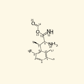 Cc1ccc(F)c([C@@H](C)C(N)C(=N)OC=O)c1C